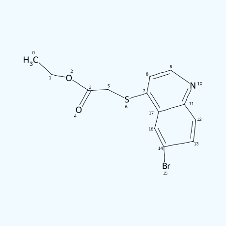 CCOC(=O)CSc1ccnc2ccc(Br)cc12